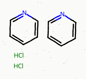 Cl.Cl.c1ccncc1.c1ccncc1